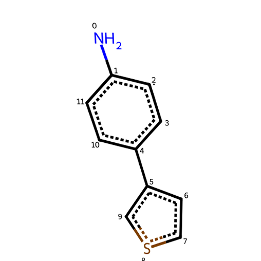 Nc1[c]cc(-c2ccsc2)cc1